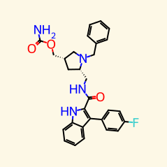 NC(=O)OC[C@H]1C[C@@H](CNC(=O)c2[nH]c3ccccc3c2-c2ccc(F)cc2)N(Cc2ccccc2)C1